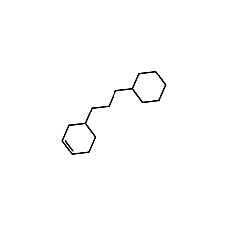 C1=CCC(CCCC2CCCCC2)CC1